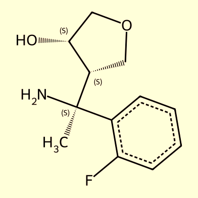 C[C@@](N)(c1ccccc1F)[C@H]1COC[C@H]1O